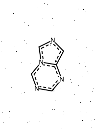 [c]1ncn2cncc2n1